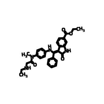 CCNCC(=O)N(C)c1ccc(NC(=C2C(=O)Nc3cc(C(=O)OCC)ccc32)c2ccccc2)cc1